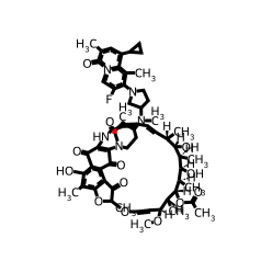 CO[C@H]1/C=C/O[C@@]2(C)Oc3c(C)c(O)c4c(c3C2=O)C(=O)C(N2CCC(N(C)C3CCN(c5c(F)cn6c(=O)c(C)cc(C7CC7)c6c5C)C3)CC2)=C(NC(=O)/C(C)=C\C=C\[C@H](C)[C@H](O)[C@@H](C)[C@@H](O)[C@@H](C)[C@H](OC(C)=O)[C@@H]1C)C4=O